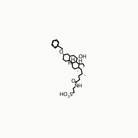 C[C@H](CCC(=O)NCCS(=O)(=O)O)[C@H]1CC[C@H]2[C@@H]3[C@@H](O)CC4C[C@H](OCc5ccccc5)CC[C@]4(C)[C@H]3CC[C@]12C